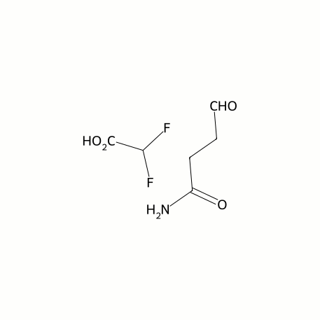 NC(=O)CCC=O.O=C(O)C(F)F